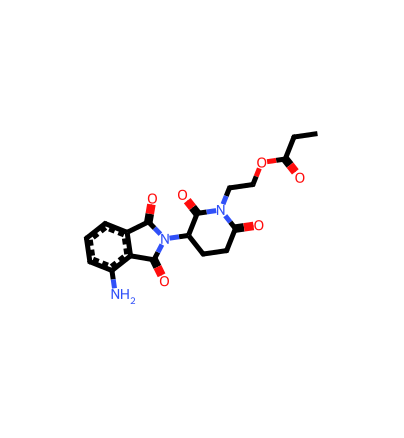 CCC(=O)OCCN1C(=O)CCC(N2C(=O)c3cccc(N)c3C2=O)C1=O